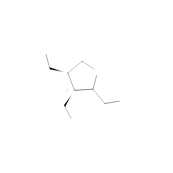 OCC1OC[C@H](CO)[C@@H]1CO